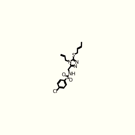 C=CCn1c(CNS(=O)(=O)c2ccc(Cl)cc2)nnc1SC/C=C/C